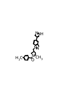 Cc1ccc(C(=O)N2CC(Cn3ncc4cc(-c5cn[nH]c5)ccc43)C[C@@H]2C)cc1